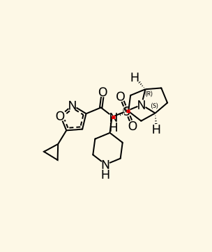 O=C(N[C@@H]1C[C@H]2CC[C@@H](C1)N2S(=O)(=O)CC1CCNCC1)c1cc(C2CC2)on1